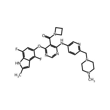 Cc1cc2c(F)c(Oc3ncnc(Nc4ccc(CN5CCN(C)CC5)nc4)c3C(=O)N3CCC3)cc(F)c2[nH]1